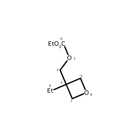 CCOC(=O)OCC1(CC)COC1